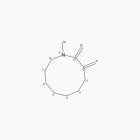 C=C1CCCCCCCN(C)C1=C